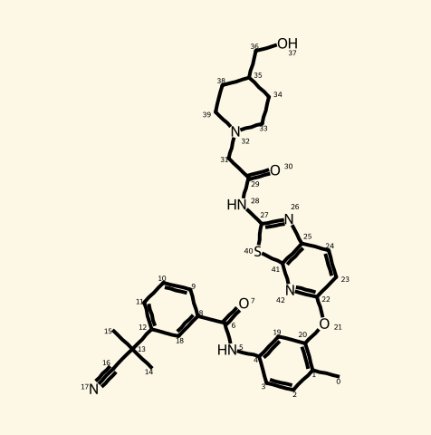 Cc1ccc(NC(=O)c2cccc(C(C)(C)C#N)c2)cc1Oc1ccc2nc(NC(=O)CN3CCC(CO)CC3)sc2n1